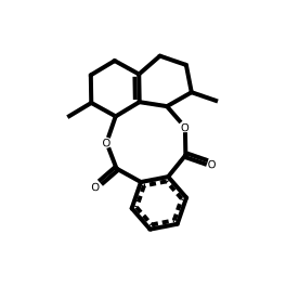 CC1CCC2=C3C1OC(=O)c1ccccc1C(=O)OC3C(C)CC2